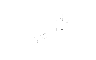 CC1(CNC(=O)c2cnn(-c3ccc(F)cc3)n2)NC(=O)NC1=O